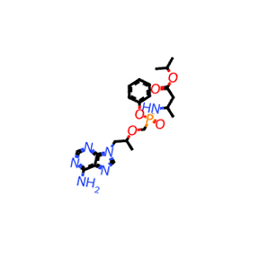 CC(CC(=O)OC(C)C)NP(=O)(COC(C)Cn1cnc2c(N)ncnc21)Oc1ccccc1